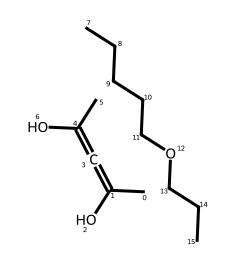 CC(O)=C=C(C)O.CCCCCOCCC